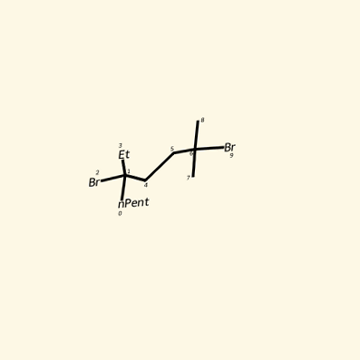 CCCCCC(Br)(CC)CCC(C)(C)Br